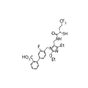 CCOc1nc(CC)c(CNC(=O)C(S)CCC(F)(F)F)n1Cc1ccc(-c2ccccc2C(=O)O)cc1F